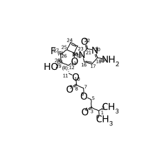 CC(C)C(=O)COCC(=O)OC[C@H]1O[C@]2(n3ccc(N)nc3=O)C=CC2[C@@H](F)[C@H]1O